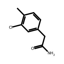 Cc1ccc(CC(N)=O)cc1Cl